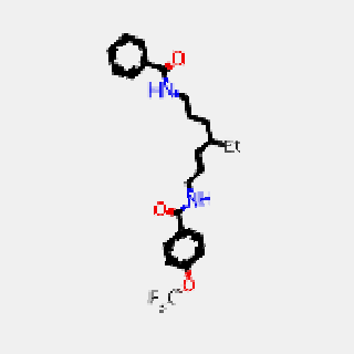 CCC(CCCNC(=O)c1ccccc1)CCCNC(=O)c1ccc(OC(F)(F)F)cc1